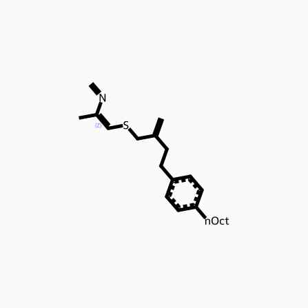 C=N/C(C)=C\SCC(=C)CCc1ccc(CCCCCCCC)cc1